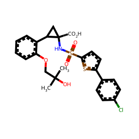 CC(C)(O)COc1ccccc1C1CC1(NS(=O)(=O)c1ccc(-c2ccc(Cl)cc2)s1)C(=O)O